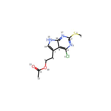 CSc1nc(Cl)c2c(CCOC(C)=O)c[nH]c2n1